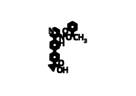 CC(OC(=O)Nc1ccncc1-c1ccc(-c2ccc(C3(C(=O)O)CC3)cc2)cc1)c1ccccc1